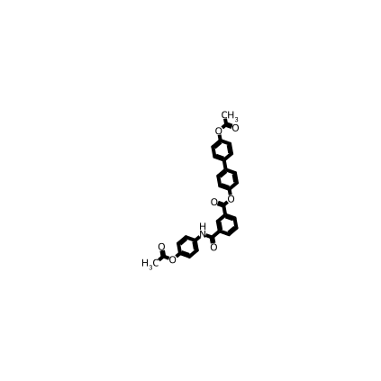 CC(=O)Oc1ccc(NC(=O)c2cccc(C(=O)Oc3ccc(-c4ccc(OC(C)=O)cc4)cc3)c2)cc1